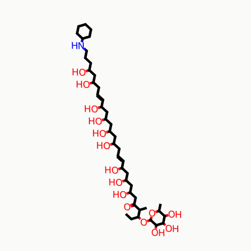 CCC(OC1OC(C)C(O)C(O)C1O)C(C)C(=O)CC(O)CC(O)CC(O)/C=C/CC(O)CC(O)CC(O)CC(O)/C=C/CC(O)CC(O)CCCNC1CCCCC1